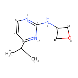 CC(C)c1ccnc(NC2COC2)n1